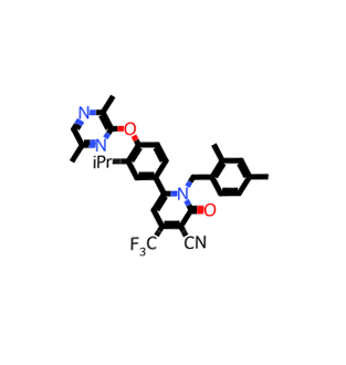 Cc1ccc(Cn2c(-c3ccc(Oc4nc(C)cnc4C)c(C(C)C)c3)cc(C(F)(F)F)c(C#N)c2=O)c(C)c1